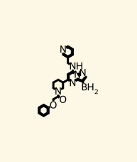 Bc1cnn2c(NCc3cccnc3)cc(C3CCCN(C(=O)COc4ccccc4)C3)nc12